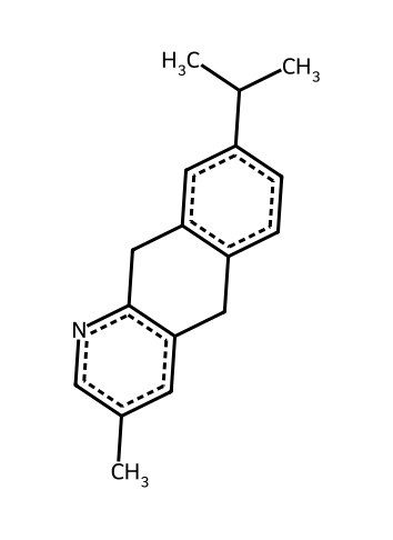 Cc1cnc2c(c1)Cc1ccc(C(C)C)cc1C2